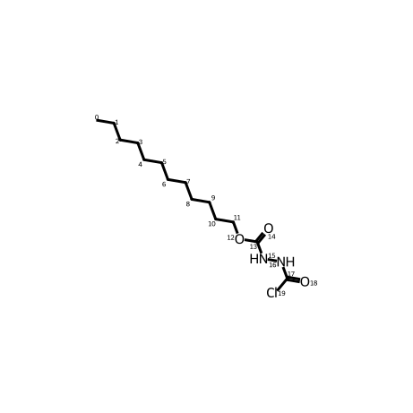 CCCCCCCCCCCCOC(=O)NNC(=O)Cl